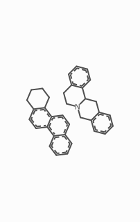 c1ccc2c(c1)CC1c3ccccc3CCN1C2.c1ccc2c(c1)ccc1c3c(ccc12)CCCC3